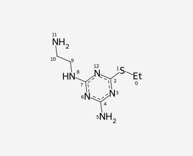 CCSc1nc(N)nc(NCCN)n1